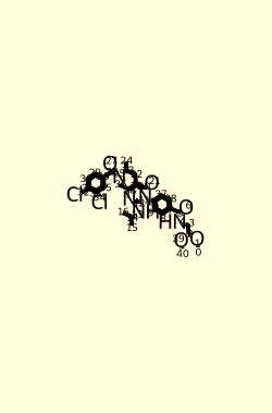 COC(CNC(=O)c1ccc(-n2c(NC(C)C)nc3c(c2=O)CC(C)N(C(=O)c2ccc(Cl)c(Cl)c2)C3)cc1)OC